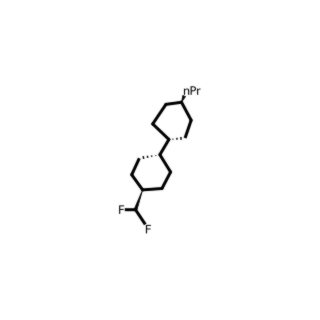 CCC[C@H]1CC[C@H]([C@H]2CC[C@H](C(F)F)CC2)CC1